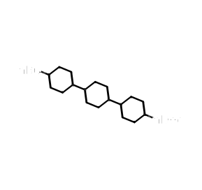 CCCCCCCCCCC1CCC(C2CCC(C3CCC(CCCC)CC3)CC2)CC1